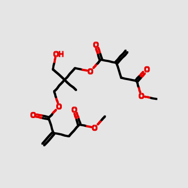 C=C(CC(=O)OC)C(=O)OCC(C)(CO)COC(=O)C(=C)CC(=O)OC